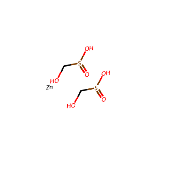 O=S(O)CO.O=S(O)CO.[Zn]